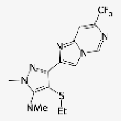 CCSc1c(-c2cn3cnc(C(F)(F)F)cc3n2)nn(C)c1NC